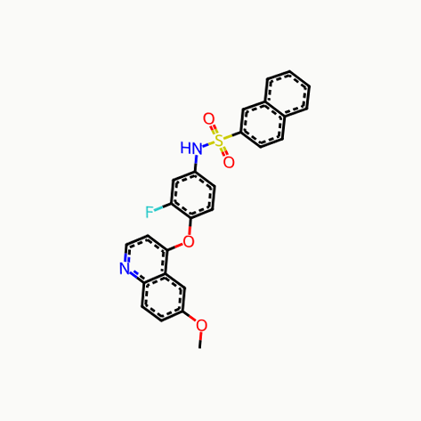 COc1ccc2nccc(Oc3ccc(NS(=O)(=O)c4ccc5ccccc5c4)cc3F)c2c1